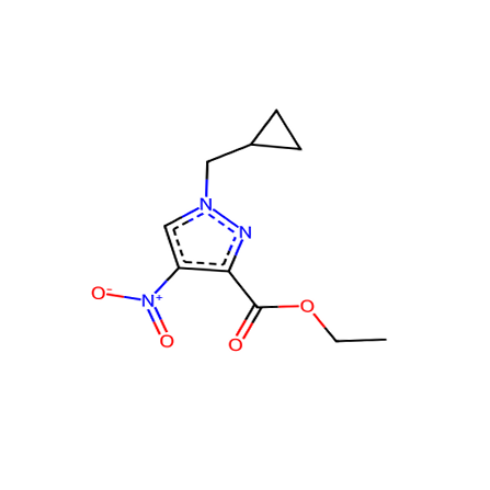 CCOC(=O)c1nn(CC2CC2)cc1[N+](=O)[O-]